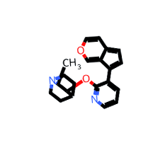 CC1C(Oc2ncccc2-c2ccc3ccocc2-3)C2CCN1CC2